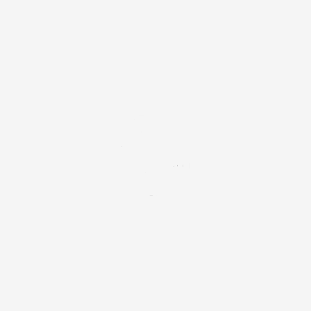 C[CH]c1ccc(O)cc1O